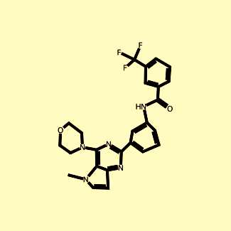 Cn1ccc2nc(-c3cccc(NC(=O)c4cccc(C(F)(F)F)c4)c3)nc(N3CCOCC3)c21